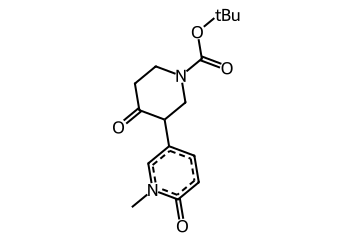 Cn1cc(C2CN(C(=O)OC(C)(C)C)CCC2=O)ccc1=O